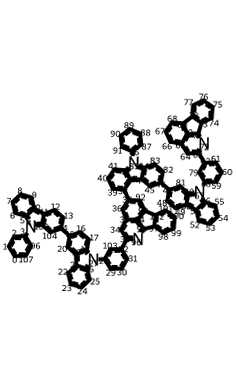 c1ccc(-n2c3ccccc3c3ccc(-c4ccc5c(c4)c4ccccc4n5-c4cccc(-c5cc6cc(-c7cccc8c7c7cc(-c9ccc%10c%11ccccc%11n(-c%11cccc(-c%12cc%13cccc%14c%13c(n%12)-c%12ccccc%12-%14)c%11)c%10c9)ccc7n8-c7ccccc7)cc7c6c(n5)-c5ccccc5-7)c4)cc32)cc1